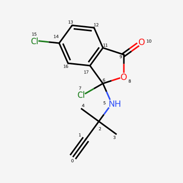 C#CC(C)(C)NC1(Cl)OC(=O)c2ccc(Cl)cc21